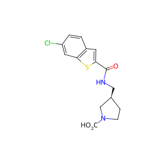 O=C(NC[C@H]1CCN(C(=O)O)C1)c1cc2ccc(Cl)cc2s1